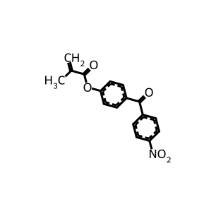 C=C(C)C(=O)Oc1ccc(C(=O)c2ccc([N+](=O)[O-])cc2)cc1